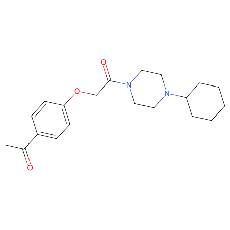 CC(=O)c1ccc(OCC(=O)N2CCN(C3CCCCC3)CC2)cc1